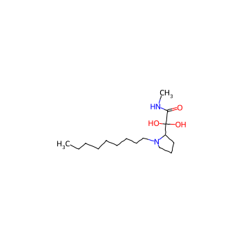 CCCCCCCCCN1CCCC1C(O)(O)C(=O)NC